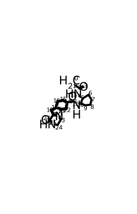 C=CC(=O)N[C@@H]1CCCC[C@@H]1NC(=O)c1ccc2cc3n(c2c1)CCNC3=O